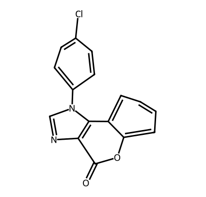 O=c1oc2ccccc2c2c1ncn2-c1ccc(Cl)cc1